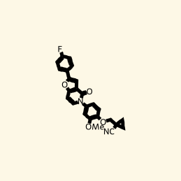 COc1cc(-n2ccc3oc(-c4ccc(F)cc4)cc3c2=O)ccc1OCC1(C#N)CC1